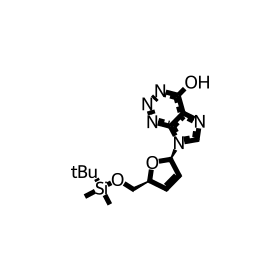 CC(C)(C)[Si](C)(C)OC[C@@H]1C=C[C@H](n2cnc3c(O)nnnc32)O1